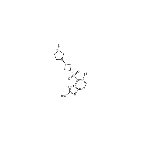 CC(C)(C)c1nc2ccc(Cl)c(S(=O)(=O)[C@H]3C[C@H](N4CC[C@@H](F)C4)C3)c2o1